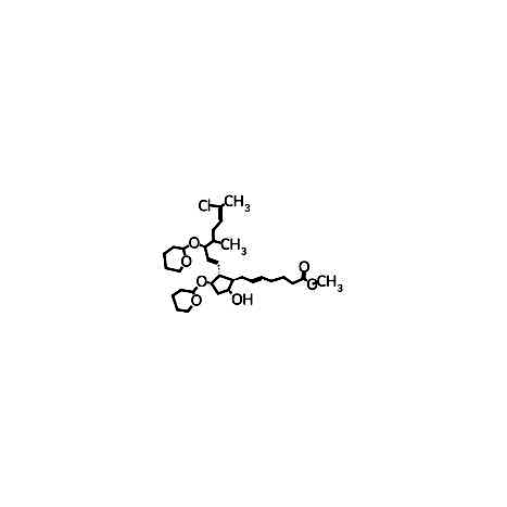 COC(=O)CCCC=CC[C@@H]1[C@@H](C=C[C@@H](OC2CCCCO2)C(C)CC=C(C)Cl)[C@H](OC2CCCCO2)C[C@@H]1O